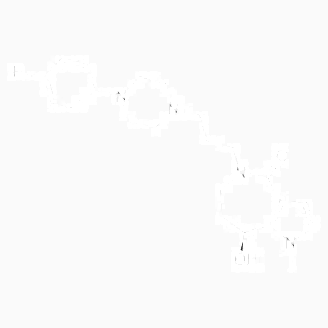 Cn1ccc2c1[C@@H](O)CCN(CCCN1CCN(c3ccc(F)cc3)CC1)C2=O